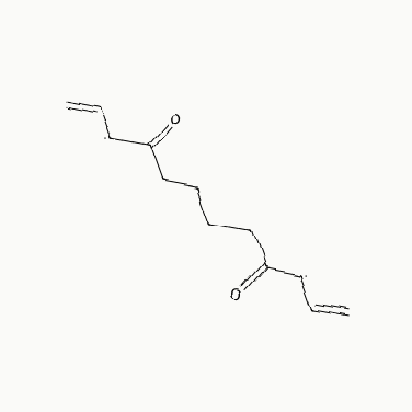 C=C[CH]C(=O)CCCCC(=O)[CH]C=C